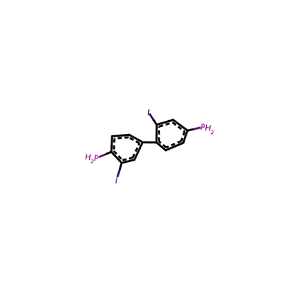 Pc1ccc(-c2ccc(P)c(I)c2)c(I)c1